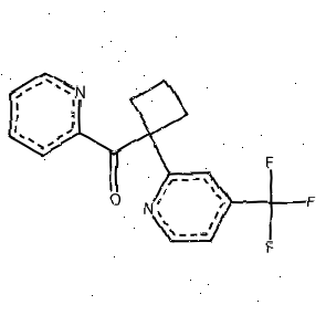 O=C(c1ccccn1)C1(c2cc(C(F)(F)F)ccn2)CCC1